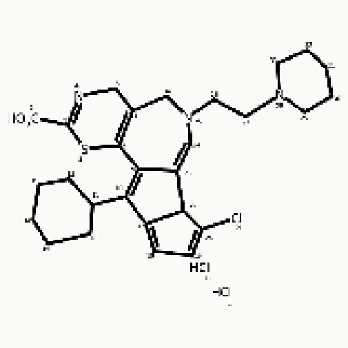 Cl.Cl.O=C(O)C1=NCC2=C(S1)C1=C(C3CCCCC3)C3=CC=C(Cl)C3C1=CN(CCN1CCCCC1)C2